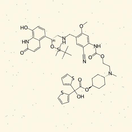 COc1cc(NC(=O)OCCN(C)[C@H]2CC[C@H](OC(=O)C(O)(c3cccs3)c3cccs3)CC2)c(C#N)cc1CNC[C@H](O[Si](C)(C)C(C)(C)C)c1ccc(O)c2[nH]c(=O)ccc12